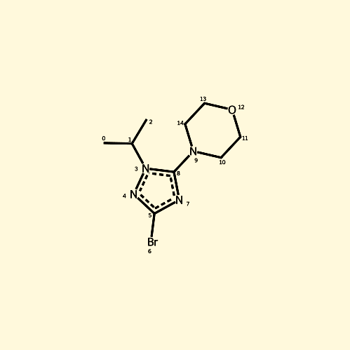 CC(C)n1nc(Br)nc1N1CCOCC1